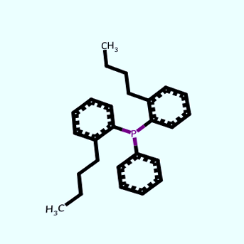 CCCCc1ccccc1P(c1ccccc1)c1ccccc1CCCC